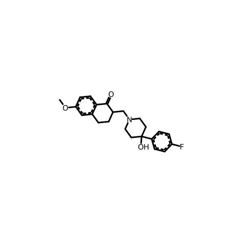 COc1ccc2c(c1)CCC(CN1CCC(O)(c3ccc(F)cc3)CC1)C2=O